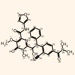 COc1c(C(=O)Nc2cnoc2)nc(C(C)[C@@H](c2ccccc2)c2ccc(C(=O)N(C)C)cc2C#N)n(C)c1=O